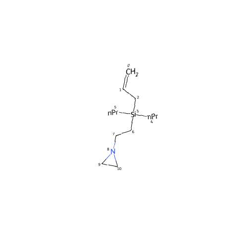 C=CC[Si](CCC)(CCC)CCN1CC1